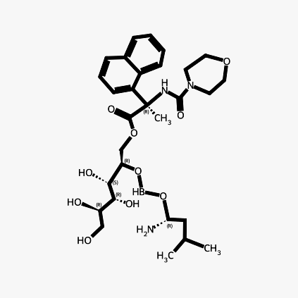 CC(C)C[C@H](N)OBO[C@H](COC(=O)[C@](C)(NC(=O)N1CCOCC1)c1cccc2ccccc12)[C@@H](O)[C@H](O)[C@H](O)CO